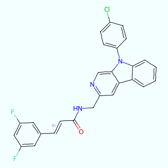 O=C(/C=C/c1cc(F)cc(F)c1)NCc1cc2c3ccccc3n(-c3ccc(Cl)cc3)c2cn1